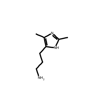 Cc1nc(C)c(CCCN)[nH]1